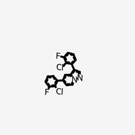 Fc1cccc(-c2ccn3ncc(-c4cccc(F)c4Cl)c3c2)c1Cl